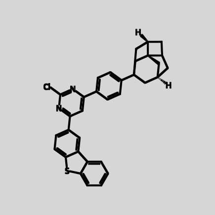 Clc1nc(-c2ccc(C34C[C@@H]5CC6C[C@@H](C3)[C@@]6(C5)C4)cc2)cc(-c2ccc3sc4ccccc4c3c2)n1